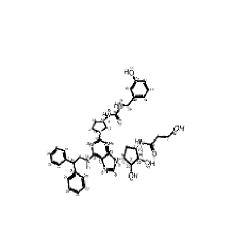 O=C(CCO)N[C@H]1C[C@@H](n2cnc3c(NCC(c4ccccc4)c4ccccc4)nc(N4CC[C@@H](NC(=O)NCc5cccc(O)c5)C4)nc32)[C@H](O)[C@@H]1O